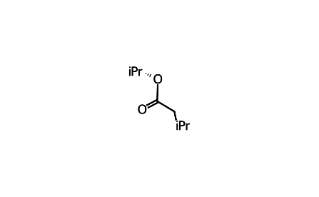 [CH2][C@@H](C)OC(=O)CC(C)C